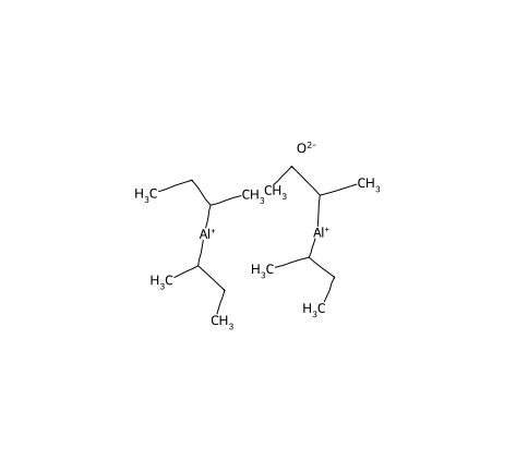 CC[CH](C)[Al+][CH](C)CC.CC[CH](C)[Al+][CH](C)CC.[O-2]